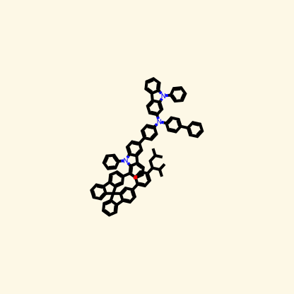 CC(C)CC(c1ccc(-c2ccc3c(c2)C2(c4ccccc4-3)c3ccccc3-c3ccc(-c4cccc5c6cc(-c7ccc(N(c8ccc(-c9ccccc9)cc8)c8ccc9c%10ccccc%10n(-c%10ccccc%10)c9c8)cc7)ccc6n(-c6ccccc6)c45)cc32)cc1)C(C)C